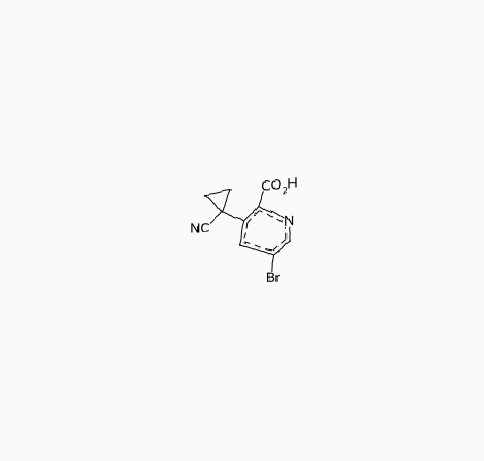 N#CC1(c2cc(Br)cnc2C(=O)O)CC1